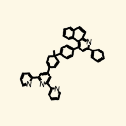 CC1(c2ccc(-c3cc(-c4ccccc4)nc4ccc5ccccc5c34)cc2)C=CC(c2cc(-c3ccccn3)nc(-c3ccccn3)c2)=CC1